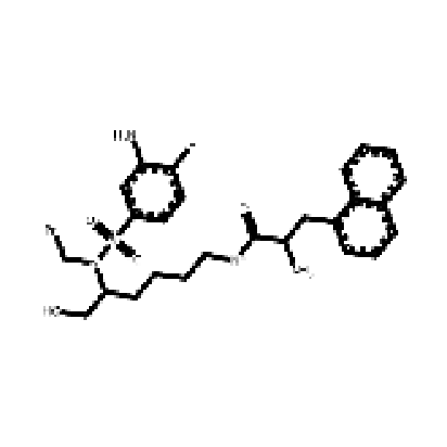 CC(C)CN(C(CO)CCCCNC(=O)C(N)Cc1cccc2ccccc12)S(=O)(=O)c1ccc(F)c(N)c1